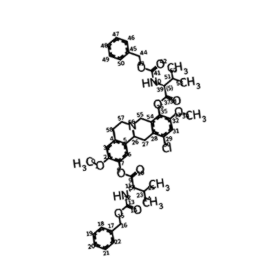 COc1cc2c(cc1OC(=O)[C@@H](NC(=O)OCc1ccccc1)C(C)C)C1Cc3c(Cl)cc(OC)c(OC(=O)[C@@H](NC(=O)OCc4ccccc4)C(C)C)c3CN1CC2